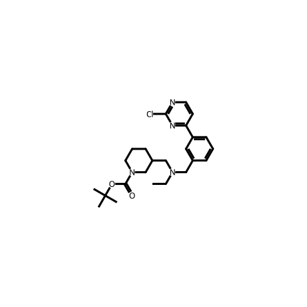 CCN(Cc1cccc(-c2ccnc(Cl)n2)c1)CC1CCCN(C(=O)OC(C)(C)C)C1